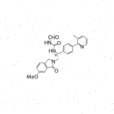 COc1ccc2c(c1)C(=O)N(C[C@H](NC(=O)NC=O)c1ccc(-c3ncccc3C)cc1)C2